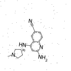 CN1CC[C@@H](Nc2cc(N)nc3ccc(C#N)cc23)C1